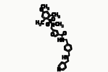 COc1cc(C)c(S(=O)(=O)N(C)Cc2cc(C(=O)NCc3ccc(CNCc4ccncc4)cc3)co2)c(C)c1